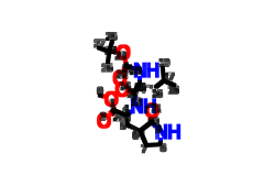 COC(=O)[C@H](C[C@@H]1CCNC1=O)NC(=O)[C@@H](CC(C)C)NC(=O)OC(C)(C)C